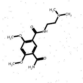 COc1cc(OC)c(C(=O)NCCN(C)C)cc1C(N)=O